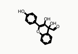 O=CC1(O)C(O)=C(c2ccc(O)cc2)Oc2ccccc21